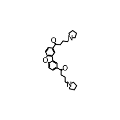 O=C(CCCN1CCCC1)c1ccc2oc3ccc(C(=O)CCCN4CCCC4)cc3c2c1